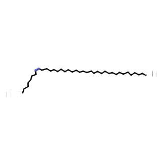 CCCCCCCC/C=C\CCCCCCCCCCC[CH]CCCCCCCCCCCCCCCCCC